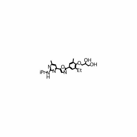 CCc1cc(-c2ncc(-c3cc(C)nc(NC(C)C)n3)o2)cc(C)c1OCC(O)CO